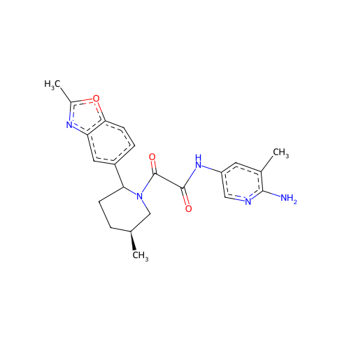 Cc1nc2cc(C3CC[C@H](C)CN3C(=O)C(=O)Nc3cnc(N)c(C)c3)ccc2o1